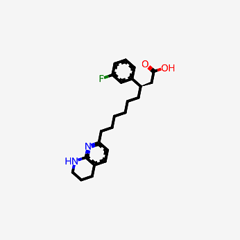 O=C(O)C[C@@H](CCCCCCc1ccc2c(n1)NCCC2)c1cccc(F)c1